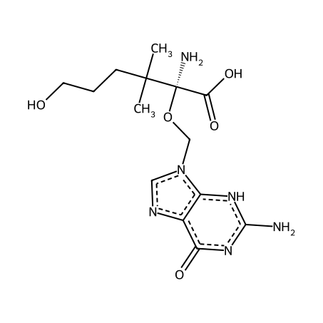 CC(C)(CCCO)[C@](N)(OCn1cnc2c(=O)nc(N)[nH]c21)C(=O)O